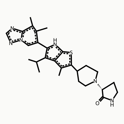 Cc1c(-c2[nH]c3sc(C4CCN([C@@H]5CCNC5=O)CC4)c(C)c3c2C(C)C)cn2ncnc2c1C